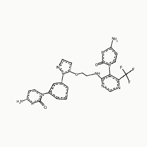 Nc1ccn(-c2cccc(-n3nccc3OCCNc3ncnc(C(F)(F)F)c3-n3ccc(N)nc3=O)c2)c(=O)n1